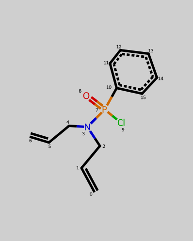 C=CCN(CC=C)P(=O)(Cl)c1ccccc1